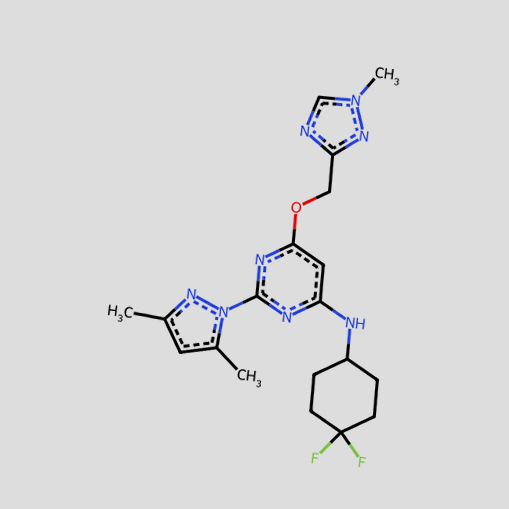 Cc1cc(C)n(-c2nc(NC3CCC(F)(F)CC3)cc(OCc3ncn(C)n3)n2)n1